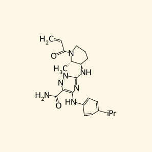 C=CC(=O)N1CCC[C@@H](Nc2nnc(C(N)=O)c(Nc3ccc(C(C)C)cc3)n2)[C@@H]1C